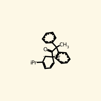 CC(C)C1=CC=CC(C(=O)C(C)(c2ccccc2)c2ccccc2)(C(C)C)[CH]1